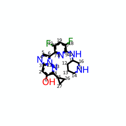 Oc1cc2ncc(-c3nc(N[C@@H]4CCCNC4)c(F)cc3F)n2nc1C1CC1